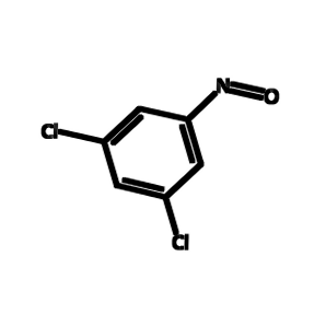 O=Nc1cc(Cl)cc(Cl)c1